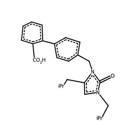 CC(C)Cc1cn(CC(C)C)c(=O)n1Cc1ccc(-c2ccccc2C(=O)O)cc1